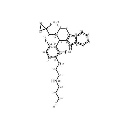 C[C@@H]1Cc2c([nH]c3ccccc23)C(c2c(F)cnc(OCCNCCCF)c2F)N1CC1(F)CC1